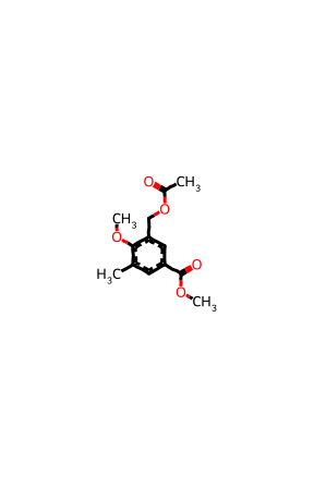 COC(=O)c1cc(C)c(OC)c(COC(C)=O)c1